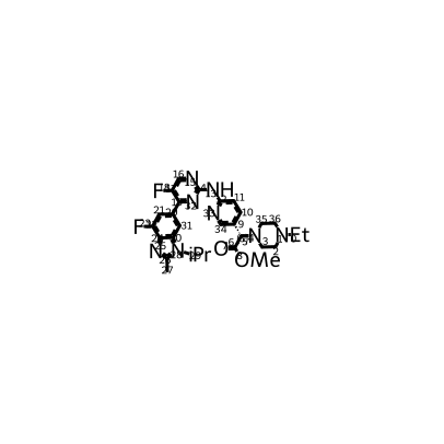 CCN1CCN([C@H](C(=O)OC)c2ccc(Nc3ncc(F)c(-c4cc(F)c5nc(C)n(C(C)C)c5c4)n3)nc2)CC1